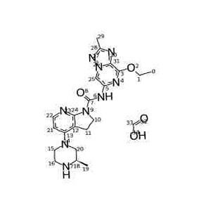 CCOc1nc(NC(=O)N2CCc3c(N4CCN[C@H](C)C4)ccnc32)cn2nc(C)nc12.O=CO